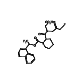 O=C(O)CN(CC(=O)CF)C(=O)C1CCCCN1C(=O)OC(c1cccc2ccccc12)C(F)(F)F